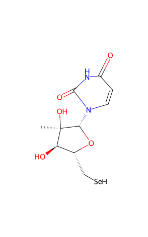 C[C@@]1(O)[C@H](O)[C@@H](C[SeH])O[C@H]1n1ccc(=O)[nH]c1=O